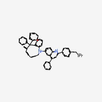 C=C1/C=C\C=C/CN(c2ccc3nc(-c4ccc(CC(C)C)cc4)cc(-c4ccccc4)c3c2)c2ccccc2C1(c1ccccc1)c1ccccc1